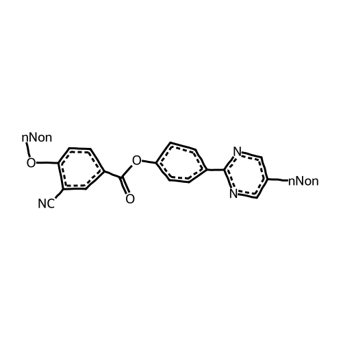 CCCCCCCCCOc1ccc(C(=O)Oc2ccc(-c3ncc(CCCCCCCCC)cn3)cc2)cc1C#N